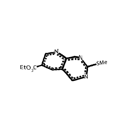 CCOC(=O)c1cnc2nc(SC)ncc2c1